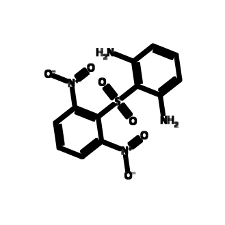 Nc1cccc(N)c1S(=O)(=O)c1c([N+](=O)[O-])cccc1[N+](=O)[O-]